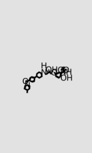 CC1CCN(C(=O)c2ccc(C3CCC(NC[C@@H](O)COc4ccc(O)c(NS(C)(=O)=O)c4)CC3)cc2)CC1